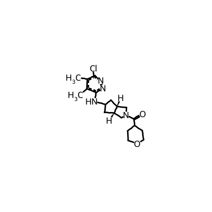 Cc1c(Cl)nnc(NC2C[C@@H]3CN(C(=O)C4CCOCC4)C[C@@H]3C2)c1C